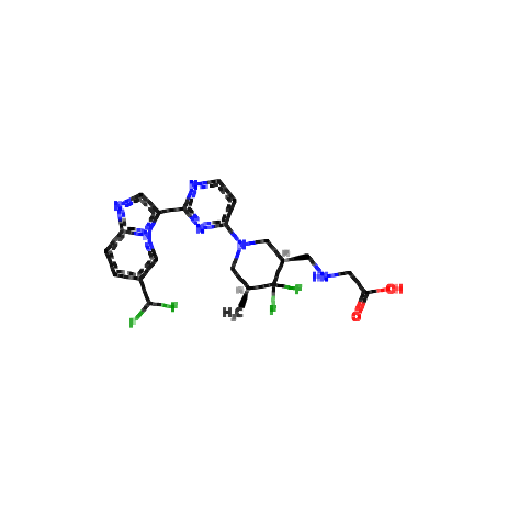 C[C@H]1CN(c2ccnc(-c3cnc4ccc(C(F)F)cn34)n2)C[C@@H](CNCC(=O)O)C1(F)F